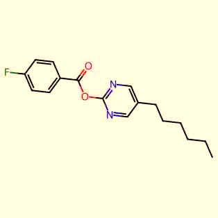 CCCCCCc1cnc(OC(=O)c2ccc(F)cc2)nc1